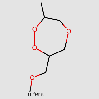 CCCCCOCC1COCC(C)OO1